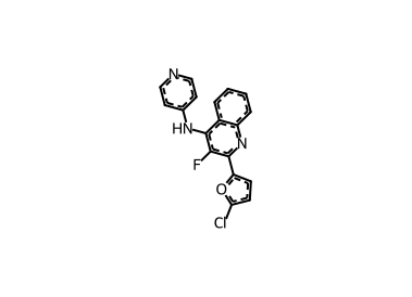 Fc1c(-c2ccc(Cl)o2)nc2ccccc2c1Nc1ccncc1